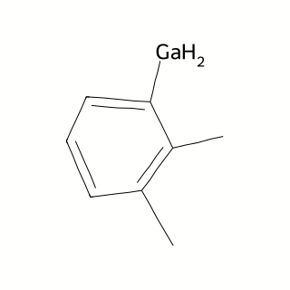 Cc1ccc[c]([GaH2])c1C